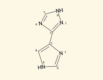 [c]1nc(-c2nc[nH]n2)c[nH]1